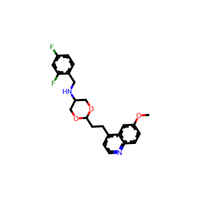 COc1ccc2nccc(CCC3OCC(NCc4ccc(F)cc4F)CO3)c2c1